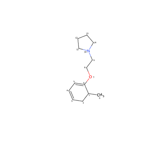 CC1CC=CC=C1OCCN1CCCC1